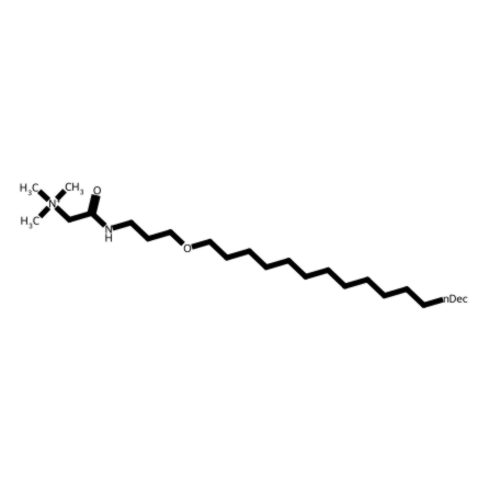 CCCCCCCCCCCCCCCCCCCCCCOCCCNC(=O)C[N+](C)(C)C